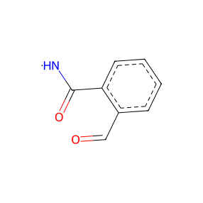 [NH]C(=O)c1ccccc1C=O